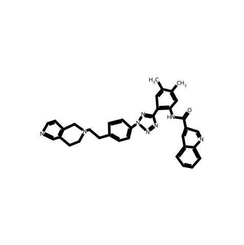 Cc1cc(NC(=O)c2cnc3ccccc3c2)c(-c2nnn(-c3ccc(CCN4CCc5cnccc5C4)cc3)n2)cc1C